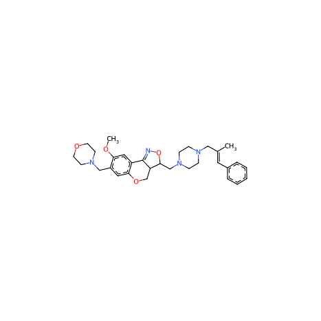 COc1cc2c(cc1CN1CCOCC1)OCC1C2=NOC1CN1CCN(CC(C)=Cc2ccccc2)CC1